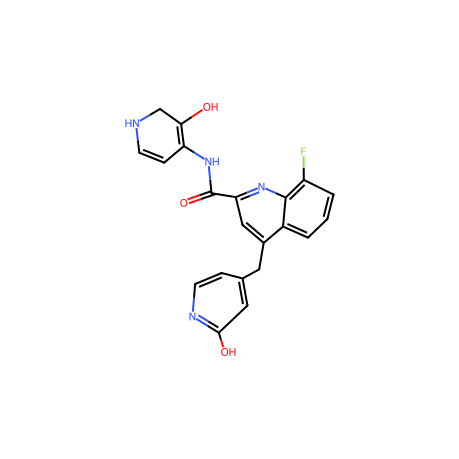 O=C(NC1=C(O)CNC=C1)c1cc(Cc2ccnc(O)c2)c2cccc(F)c2n1